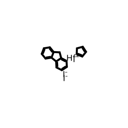 C1=CC[C]([Hf+2][c]2cccc3c2Cc2ccccc2-3)=C1.[I-].[I-]